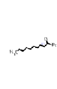 CC=CCCCC/C=C/C(=O)C(C)C